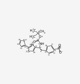 CC(C)(C)OC(=O)N[C@@H](Cc1ccc([N+](=O)[O-])cc1)c1csc(-c2cccs2)n1